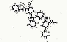 CCOc1cc(N2CCN(C)CC2)ccc1Nc1nccc(-c2c(-c3ccc(OC)c(C(=O)Nc4c(F)cccc4F)c3)nc3ccccn23)n1